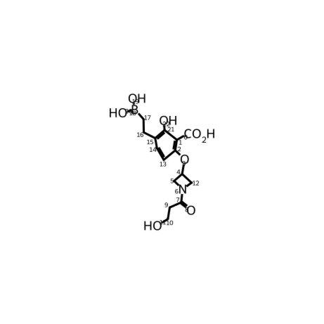 O=C(O)c1c(OC2CN(C(=O)CCO)C2)ccc(CCB(O)O)c1O